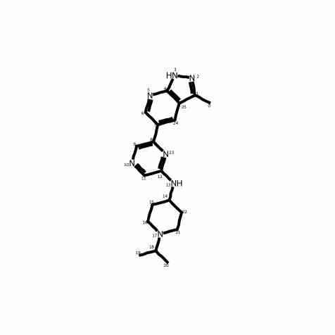 Cc1n[nH]c2ncc(-c3cncc(NC4CCN(C(C)C)CC4)n3)cc12